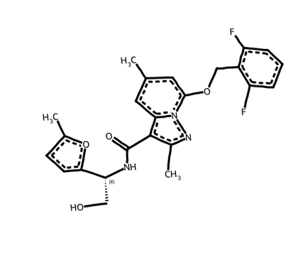 Cc1cc(OCc2c(F)cccc2F)n2nc(C)c(C(=O)N[C@H](CO)c3ccc(C)o3)c2c1